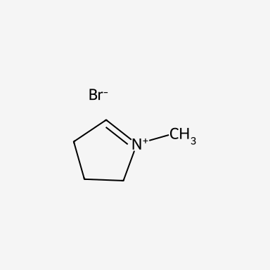 C[N+]1=CCCC1.[Br-]